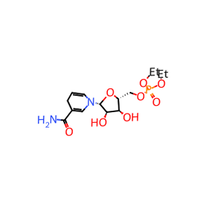 CCOP(=O)(OCC)OC[C@H]1O[C@@H](N2C=CCC(C(N)=O)=C2)[C@H](O)[C@@H]1O